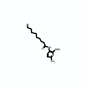 CSc1nc(C)ccc1NC(=O)CCCCCCCCBr